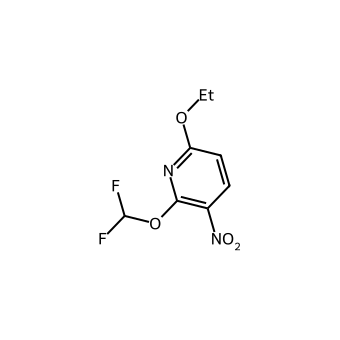 CCOc1ccc([N+](=O)[O-])c(OC(F)F)n1